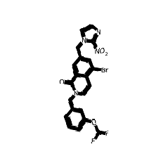 O=c1c2cc(Cn3ccnc3[N+](=O)[O-])cc(Br)c2ccn1Cc1cccc(OC(F)F)c1